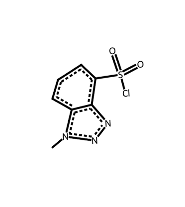 Cn1nnc2c(S(=O)(=O)Cl)cccc21